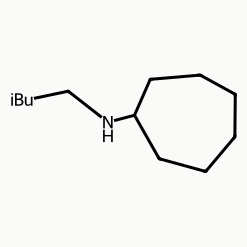 CCC(C)CNC1CCCCCC1